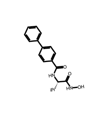 CC(C)[C@H](NC(=O)c1ccc(-c2ccccc2)cc1)C(=O)NO